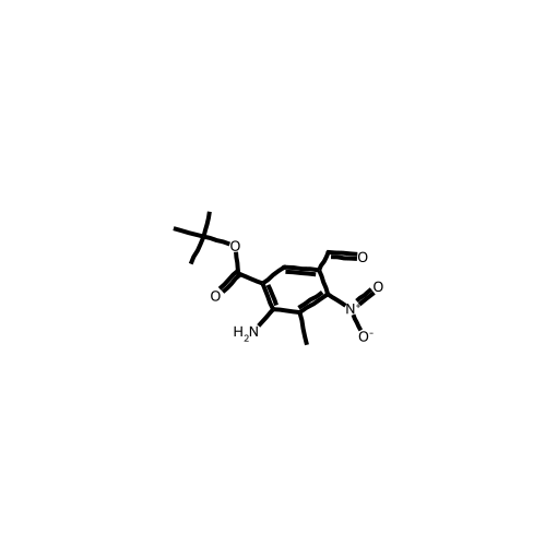 Cc1c(N)c(C(=O)OC(C)(C)C)cc(C=O)c1[N+](=O)[O-]